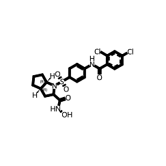 O=C(NC1=CCC(S(=O)(=O)N2C(C(=O)NO)C[C@H]3CCC[C@H]32)C=C1)c1ccc(Cl)cc1Cl